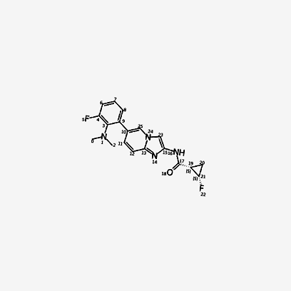 CN(C)c1c(F)cccc1-c1ccc2nc(NC(=O)[C@@H]3C[C@@H]3F)cn2c1